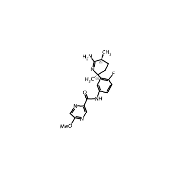 COc1cnc(C(=O)Nc2ccc(F)c([C@]3(C)CC[C@H](C)C(N)=N3)c2)cn1